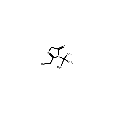 CC(C)(C)N1C(=O)CN=C1CO